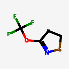 FC(F)(F)OC1=NSC[C]1